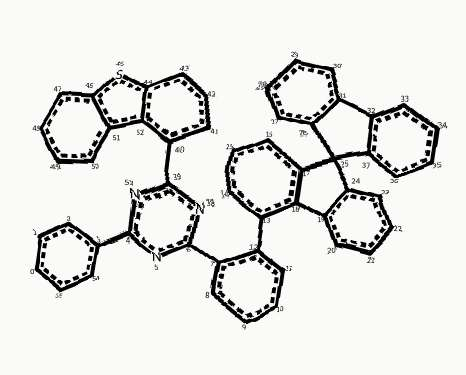 c1ccc(-c2nc(-c3ccccc3-c3cccc4c3-c3ccccc3C43c4ccccc4-c4ccccc43)nc(-c3cccc4sc5ccccc5c34)n2)cc1